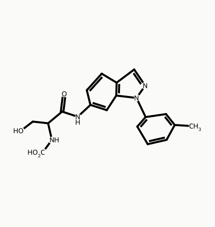 Cc1cccc(-n2ncc3ccc(NC(=O)C(CO)NC(=O)O)cc32)c1